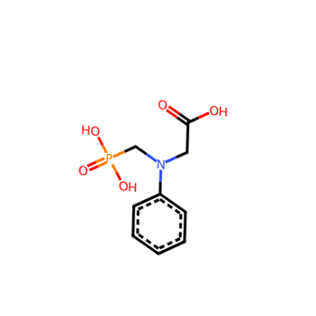 O=C(O)CN(CP(=O)(O)O)c1ccccc1